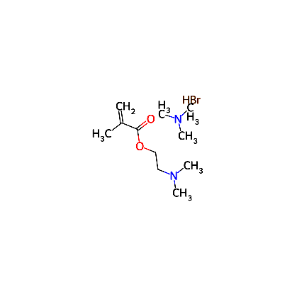 Br.C=C(C)C(=O)OCCN(C)C.CN(C)C